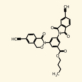 C#Cc1ccc2c(c1)CON(c1cc(C(=O)OCCCC)cc(N3C(=O)c4ccc(C#C)cc4C3=O)c1)C2=O